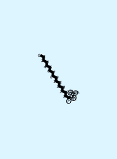 CCCCCCCCCCCCCCCCCC(=O)S([O])(=O)=O